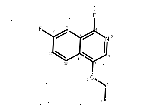 CCOc1cnc(F)c2cc(F)ccc12